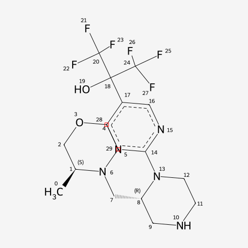 C[C@H]1COCCN1C[C@H]1CNCCN1c1ncc(C(O)(C(F)(F)F)C(F)(F)F)cn1